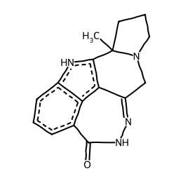 CC12CCCN1CC1=NNC(=O)c3cccc4[nH]c2c1c34